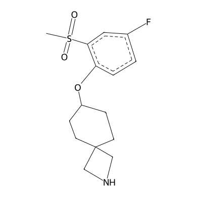 CS(=O)(=O)c1cc(F)ccc1OC1CCC2(CC1)CNC2